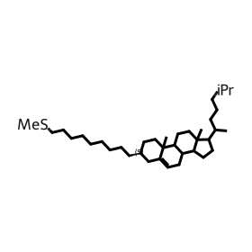 CSCCCCCCCCC[C@H]1CCC2(C)C(=CCC3C2CCC2(C)C(C(C)CCCC(C)C)CCC32)C1